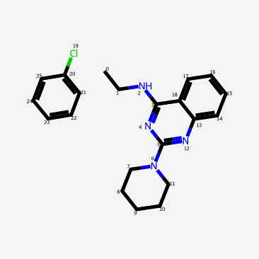 CCNc1nc(N2CCCCC2)nc2ccccc12.Clc1ccccc1